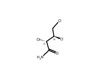 NC(=O)[C@H](Cl)[C@H](Cl)CCl